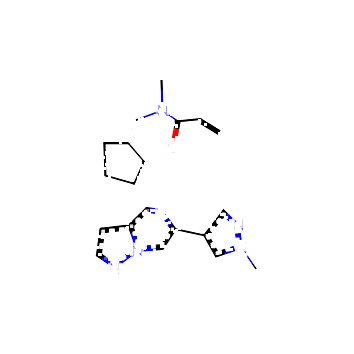 C=CC(=O)N(C)C[C@H]1CC[C@@H](c2nc(-c3cnn(C)c3)cn3nccc23)C1